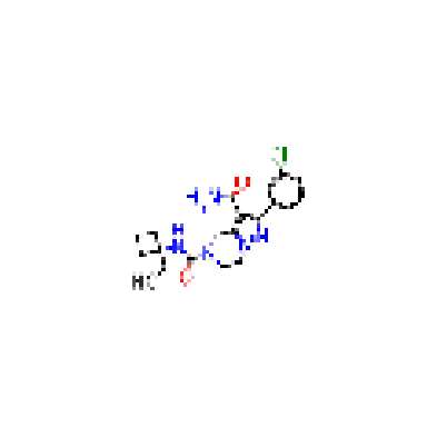 N#CCC1(NC(=O)N2CCn3nc(-c4cccc(Cl)c4)c(C(N)=O)c3C2)CCC1